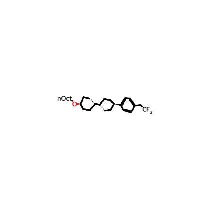 CCCCCCCCO[C@H]1CC[C@H]([C@H]2CC[C@H](c3ccc(CC(F)(F)F)cc3)CC2)CC1